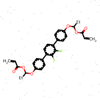 C=CC(=O)OC(CC)Oc1ccc(-c2ccc(-c3ccc(OC(CC)OC(=O)C=C)cc3)c(F)c2F)cc1